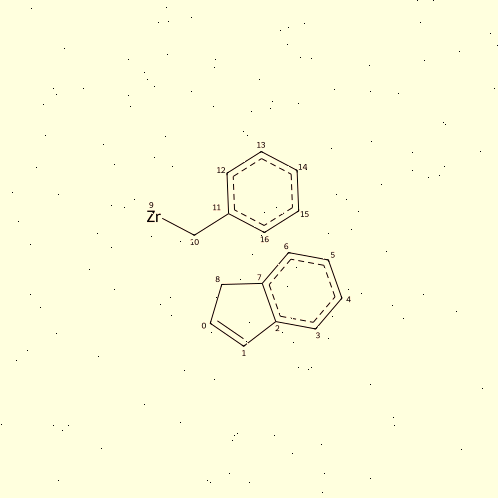 C1=Cc2ccccc2C1.[Zr][CH2]c1ccccc1